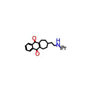 CC(C)NCCC1CCC2=C(CC1)C(=O)c1ccccc1C2=O